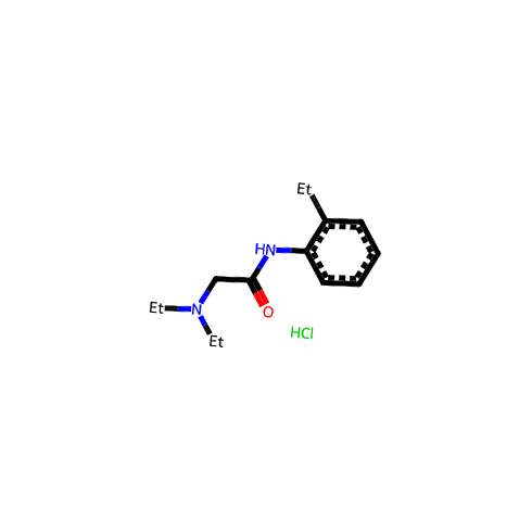 CCc1ccccc1NC(=O)CN(CC)CC.Cl